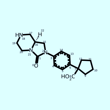 O=C1N(c2ccc(C3(C(=O)O)CCCC3)cc2)C[C@@H]2CNCCN12